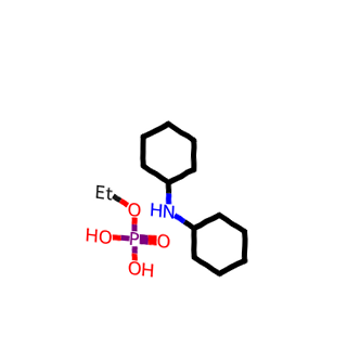 C1CCC(NC2CCCCC2)CC1.CCOP(=O)(O)O